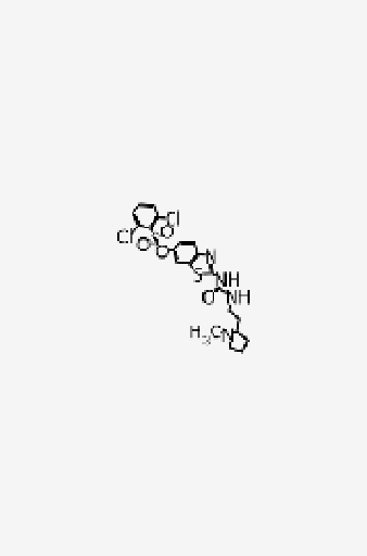 CN1CCCC1CCNC(=O)Nc1nc2ccc(OS(=O)(=O)c3c(Cl)cccc3Cl)cc2s1